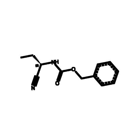 CC[C@@H](C#N)NC(=O)OCc1ccccc1